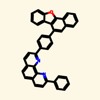 c1ccc(-c2ccc3ccc4ccc(-c5ccc(-c6cc7ccccc7c7oc8ccccc8c67)cc5)nc4c3n2)cc1